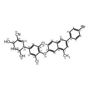 Cc1cc(-c2ccc(Br)cc2)nc2ccc(Oc3c(Cl)cc(N4N=C(C#N)C(O)NC4O)cc3Cl)cc12